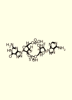 Nc1nc2c(nnn2[C@@H]2O[C@@H]3COP(=O)(O)O[C@H]4[C@H](F)[C@H](n5nnc6c(N)ncnc65)O[C@@H]4COP(O)(=S)O[C@@H]2[C@H]3F)c(=O)[nH]1